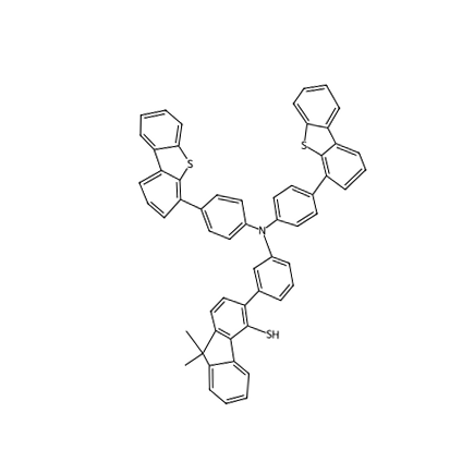 CC1(C)c2ccccc2-c2c1ccc(-c1cccc(N(c3ccc(-c4cccc5c4sc4ccccc45)cc3)c3ccc(-c4cccc5c4sc4ccccc45)cc3)c1)c2S